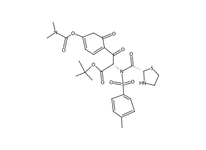 Cc1ccc(S(=O)(=O)N(C(=O)[C@H]2NCCS2)[C@H](C(=O)OC(C)(C)C)C(=O)C2=CC=C(OC(=O)N(C)C)CC2=O)cc1